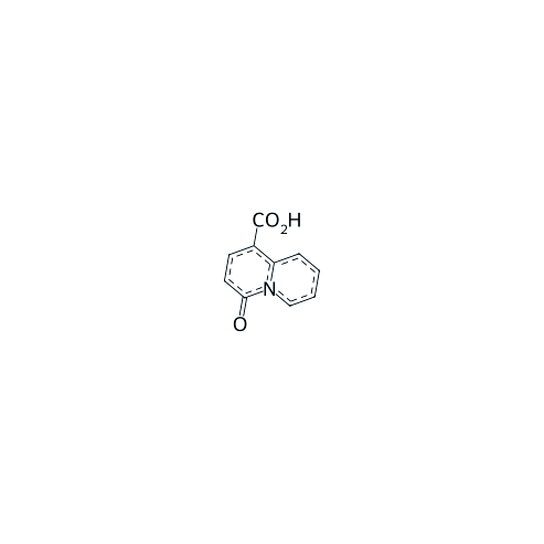 O=C(O)c1ccc(=O)n2ccccc12